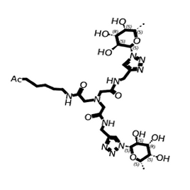 CC(=O)CCCCCNC(=O)CN(CC(=O)NCc1cn([C@H]2O[C@@H](C)[C@@H](O)[C@@H](O)[C@@H]2O)nn1)CC(=O)NCc1cn([C@H]2O[C@@H](C)[C@@H](O)[C@@H](O)[C@@H]2O)nn1